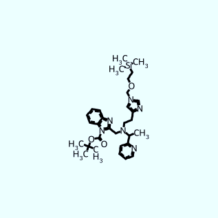 CC(c1ccccn1)N(CCc1cn(COCC[Si](C)(C)C)cn1)Cc1nc2ccccc2n1C(=O)OC(C)(C)C